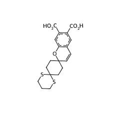 O=C(O)c1cc2c(cc1C(=O)O)OC1(C=C2)CCC2(CC1)SCCCS2